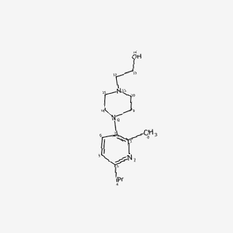 Cc1nc(C(C)C)ccc1N1CCN(CCO)CC1